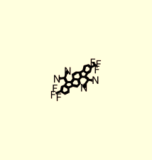 N#CC(C#N)=C1c2cc(C(F)(F)F)ccc2-c2ccc3c4c(ccc3c21)-c1ccc(C(F)(F)F)cc1C4=C(C#N)C#N